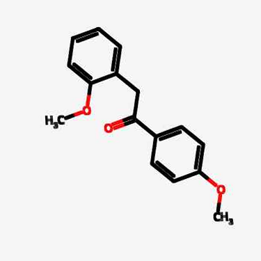 COc1ccc(C(=O)Cc2ccccc2OC)cc1